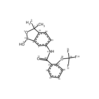 CC1(C)OB(O)c2cc(NC(=O)c3ccccc3OC(F)(F)F)ccc21